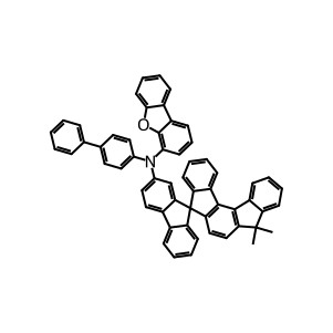 CC1(C)c2ccccc2-c2c1ccc1c2-c2ccccc2C12c1ccccc1-c1ccc(N(c3ccc(-c4ccccc4)cc3)c3cccc4c3oc3ccccc34)cc12